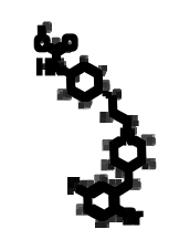 COC(=O)N[C@H]1CC[C@H](CCCN2CCC(Cc3cc(F)ccc3Br)CC2)CC1